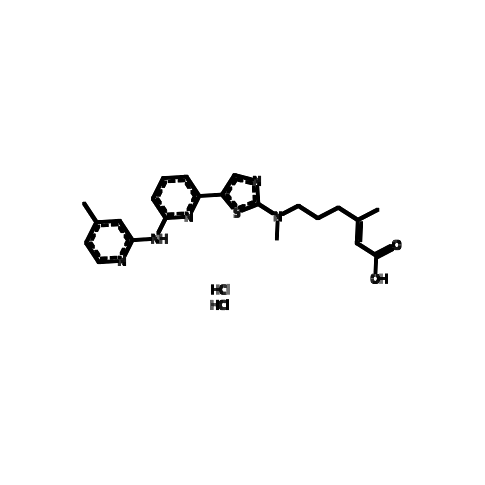 CC(=CC(=O)O)CCCN(C)c1ncc(-c2cccc(Nc3cc(C)ccn3)n2)s1.Cl.Cl